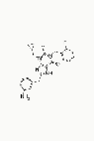 Nc1cccc(Cc2nc3c([nH]2)c(=O)n(Cc2ccccc2F)c(=O)n3CC2CC2)c1